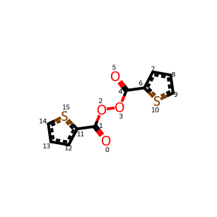 O=C(OOC(=O)c1cccs1)c1cccs1